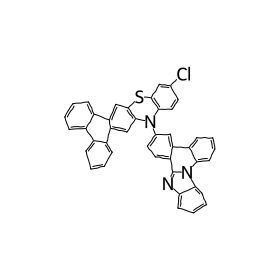 Clc1ccc2c(c1)Sc1cc3c4ccccc4c4ccccc4c3cc1N2c1ccc2c(c1)c1ccccc1n1c3ccccc3nc21